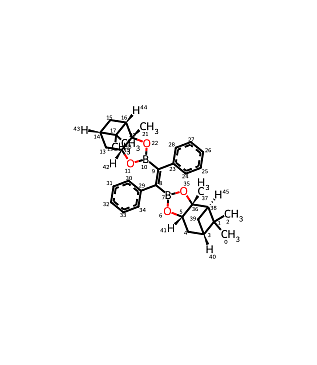 CC1(C)[C@@H]2C[C@@H]3OB(C(=C(B4O[C@@H]5C[C@@H]6C[C@@H](C6(C)C)[C@]5(C)O4)c4ccccc4)c4ccccc4)O[C@]3(C)[C@@H]1C2